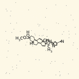 COC[C@@]1(O)CCC2=C3C=C[C@@]4(C)C(=C3CC[C@H]2C1)C=C[C@]4(O)C(C)Cn1cc(C#N)cn1